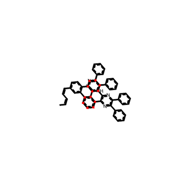 C/C=C\C=C/c1ccc(C2=C(c3ccccc3)NC(c3ccccc3)C(c3ccccc3)=N2)c(-c2cccc(-c3nc(-c4ccccc4)c(-c4ccccc4)nc3-c3cccnc3)c2)c1